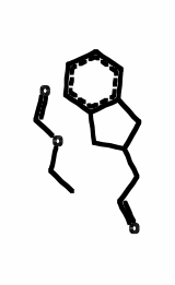 CCOC=O.O=CCC1Cc2ccccc2C1